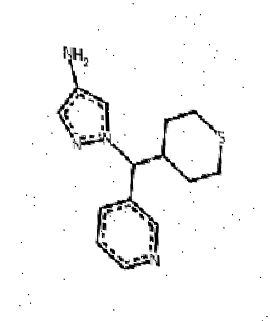 Nc1cnn(C(c2cccnc2)C2CCSCC2)c1